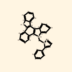 c1ccc(-c2ccnn2Cn2c3ccccc3c3c4c5ccccc5sc4c4ccccc4c32)cc1